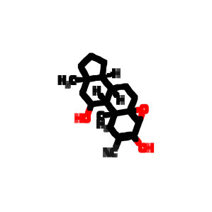 C[C@@]12CCC[C@H]1[C@@H]1CCC34OC3C(O)=C(C#N)C[C@]4(C)[C@@H]1C(O)C2